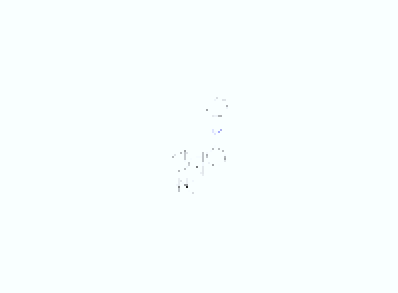 O=[N+]([O-])c1cccnc1Nc1cccc(/C=C/c2ccccn2)c1